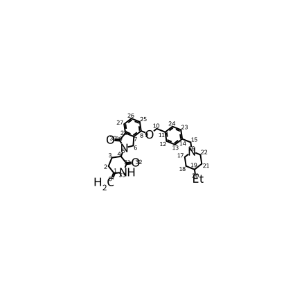 C=C1CCC(N2Cc3c(OCc4ccc(CN5CCC(CC)CC5)cc4)cccc3C2=O)C(=O)N1